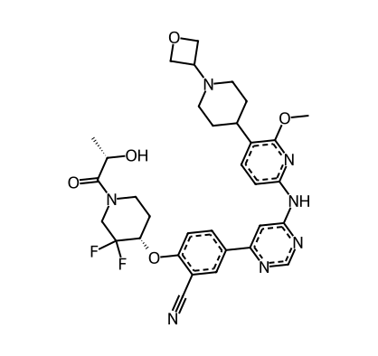 COc1nc(Nc2cc(-c3ccc(O[C@H]4CCN(C(=O)[C@H](C)O)CC4(F)F)c(C#N)c3)ncn2)ccc1C1CCN(C2COC2)CC1